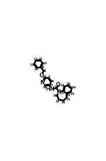 O=C(Nc1ccc(OCc2ccccc2)nc1)N1CCCCc2ccccc21